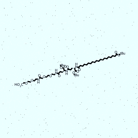 CC(C)(C)OC(=O)CCCCCCCCCCCCCCCCCCC(=O)N[C@@H](CCC(=O)N[C@@H](CCC(=O)NCCOCCOCC(=O)NCCOCCOCC(=O)O)C(=O)OC(C)(C)C)C(=O)OC(C)(C)C